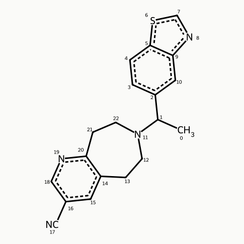 CC(c1ccc2scnc2c1)N1CCc2cc(C#N)cnc2CC1